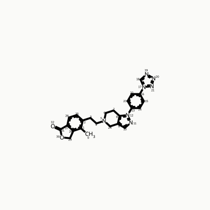 Cc1c(CCN2CCc3c(cnn3-c3ccc(-n4cnnn4)cc3)C2)ccc2c1COC2=O